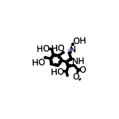 COC(=O)c1[nH]c(/C=N/CO)c(-c2ccc(CO)c(CO)c2CO)c1C(C)O